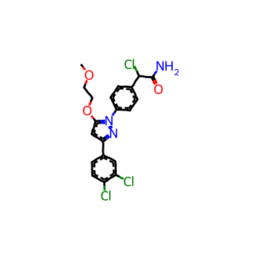 COCCOc1cc(-c2ccc(Cl)c(Cl)c2)nn1-c1ccc(C(Cl)C(N)=O)cc1